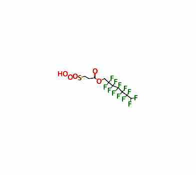 O=C(CCSOOO)OCC(F)(F)C(F)(F)C(F)(F)C(F)(F)C(F)(F)C(F)F